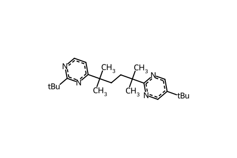 CC(C)(C)c1cnc(C(C)(C)CCC(C)(C)c2ccnc(C(C)(C)C)n2)nc1